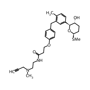 C#CCN(C)CCNC(=O)CCOc1ccc(Cc2cc([C@@H]3O[C@H](SC)CC[C@H]3O)ccc2C)cc1